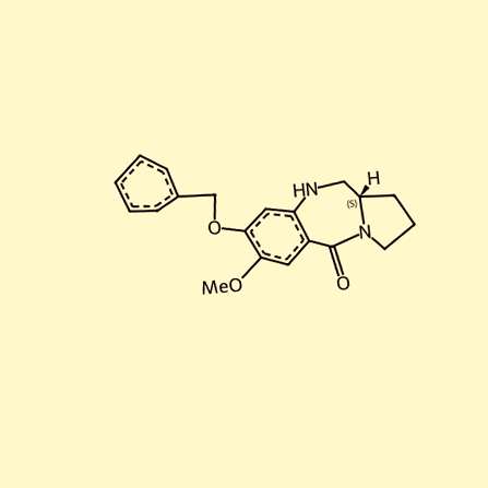 COc1cc2c(cc1OCc1ccccc1)NC[C@@H]1CCCN1C2=O